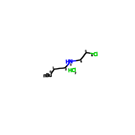 CCCCCCNCCCl.Cl